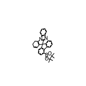 CC1(C)OB(c2cccc3c2-c2ccccc2C32C3=C(CCC=C3)n3c2nc2ccccc23)OC1(C)C